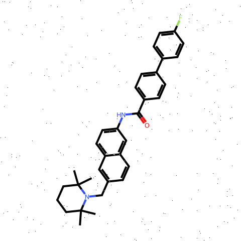 CC1(C)CCCC(C)(C)N1Cc1ccc2cc(NC(=O)c3ccc(-c4ccc(F)cc4)cc3)ccc2c1